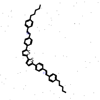 CCCCCc1ccc(/C=C/c2ccc(-c3ccc(-c4ccc(-c5ccc(/C=C/c6ccc(CCCCC)cc6)cc5)s4)s3)cc2)cc1